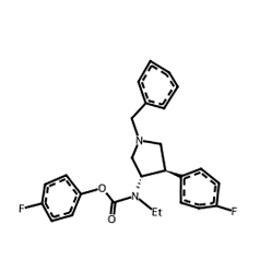 CCN(C(=O)Oc1ccc(F)cc1)[C@@H]1CN(Cc2ccccc2)C[C@H]1c1ccc(F)cc1